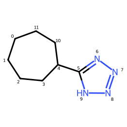 C1CCCC(c2nnn[nH]2)CC1